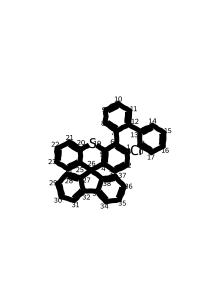 Clc1ccc2c(c1-c1ccccc1-c1ccccc1)Sc1ccccc1C21c2ccccc2-c2ccccc21